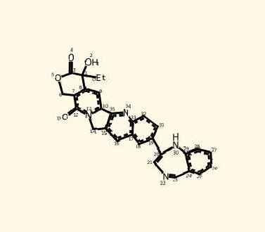 CCC1(O)C(=O)OCc2c1cc1n(c2=O)Cc2cc3cc(C4=CN=Cc5ccccc5N4)ccc3nc2-1